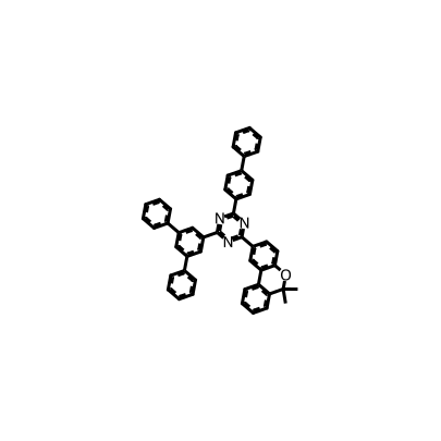 CC1(C)Oc2ccc(-c3nc(-c4ccc(-c5ccccc5)cc4)nc(-c4cc(-c5ccccc5)cc(-c5ccccc5)c4)n3)cc2-c2ccccc21